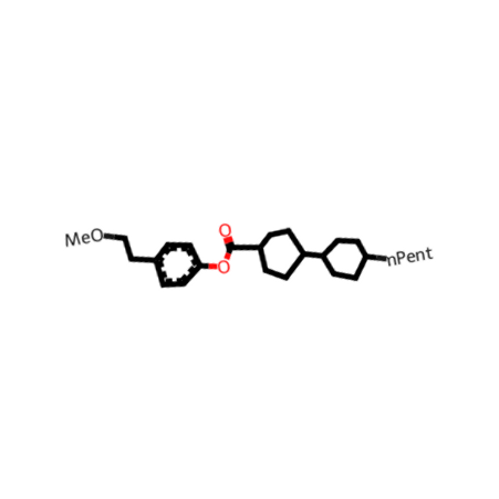 CCCCCC1CCC(C2CCC(C(=O)Oc3ccc(CCOC)cc3)CC2)CC1